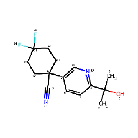 CC(C)(O)c1ccc(C2(C#N)CCC(F)(F)CC2)cn1